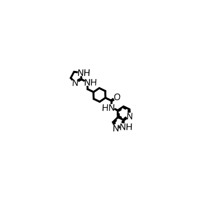 O=C(Nc1ccnc2[nH]ncc12)C1CCC(CNC2=NCCN2)CC1